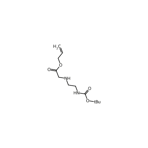 C=CCOC(=O)CNCCNC(=O)OC(C)(C)C